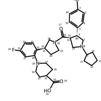 COc1ccc([C@@H]2CN(C3CCCC3)C[C@H]2C(=O)N2CC[C@@H](c3ccc(F)cc3N3CCC(C(=O)O)CC3)C2)cc1